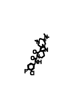 CN1Cc2c3c(nn2C[C@@H](N(C)C)C1)CCN(C(=O)Nc1ccc(F)c(Cl)c1)C3=O